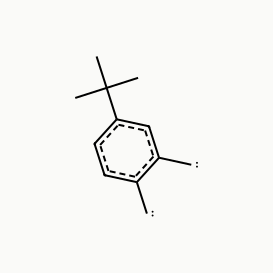 [CH]c1ccc(C(C)(C)C)cc1[CH]